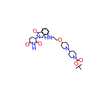 CC(C)(C)OC(=O)N1CCC(N2CCC(OCCNc3cccc4c3CN(C3CCC(=O)NC3=O)C4=O)CC2)CC1